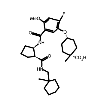 COc1cc(F)c(O[C@H]2CC[C@@](C)(C(=O)O)CC2)cc1C(=O)N[C@@H]1CCC[C@@H]1C(=O)NCC1(C)CCCCC1